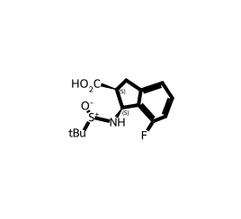 CC(C)(C)[S+]([O-])N[C@@H]1c2c(F)cccc2C[C@@H]1C(=O)O